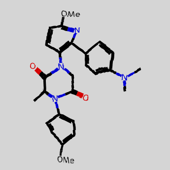 COc1ccc(N2C(=O)CN(c3ccc(OC)nc3-c3ccc(N(C)C)cc3)C(=O)C2C)cc1